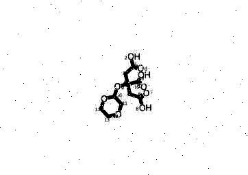 O=C(O)CC(CC(=O)O)(OC1COCCO1)C(=O)O